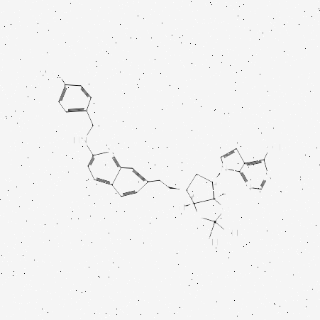 COc1ccc(CNc2ccc3ccc(CC[C@H]4C[C@@H](n5ccc6c(O)ncnc65)[C@@H]5OC(C)(C)O[C@H]45)cc3n2)cc1